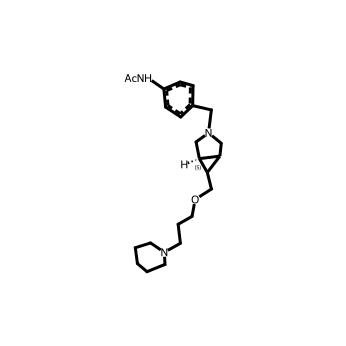 CC(=O)Nc1ccc(CN2CC3C(COCCCN4CCCCC4)[C@H]3C2)cc1